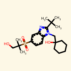 CC(C)(C)c1nc2cc(S(=O)(=O)C(C)(C)CO)ccc2n1CC1(O)CCCCC1